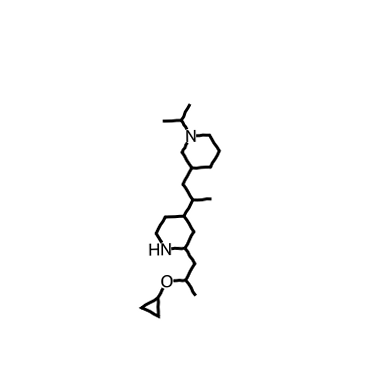 CC(CC1CC(C(C)CC2CCCN(C(C)C)C2)CCN1)OC1CC1